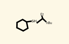 CCCCC(CC)C[SiH2]C1CCCCC1